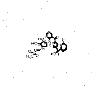 C[C@@](O)(c1csc(C(=O)c2cncnc2N[C@@H]2C[C@H](COS(N)(=O)=O)[C@@H](O)[C@H]2O)c1)c1cccc(Br)n1